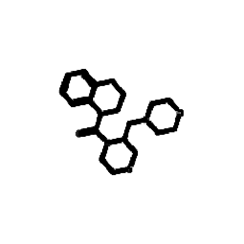 O=C(C1CCCc2ccccc21)N1CCSCC1CN1CCOCC1